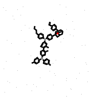 C=Cc1ccc(C23CC4CC(C2)CC(c2ccc(N(c5ccc(CCCC)cc5)c5ccc(-c6ccc(N(c7ccc(C)cc7)c7ccc(C)cc7)cc6C)c(C)c5)cc2)(C4)C3)cc1